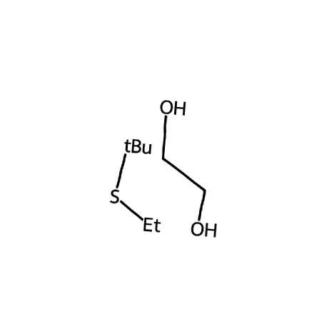 CCSC(C)(C)C.OCCO